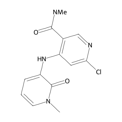 CNC(=O)c1cnc(Cl)cc1Nc1cccn(C)c1=O